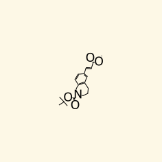 COC(=O)C=Cc1ccc2c(c1)CCCN(C(=O)OC(C)(C)C)C2